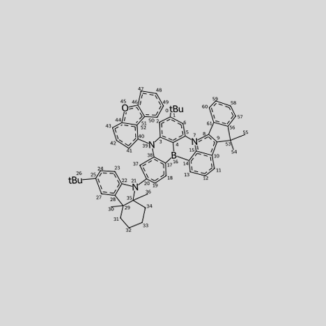 CC(C)(C)c1cc2c3c(c1)-n1c4c(c5cccc(c51)B3c1ccc(N3c5ccc(C(C)(C)C)cc5C5(C)CCCCC35C)cc1N2c1cccc2oc3ccccc3c12)C(C)(C)c1ccccc1-4